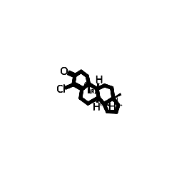 C[C@@]12[CH]CC[C@H]1[C@@H]1CCC3=C(Cl)C(=O)CC[C@]3(C)[C@@H]1CC2